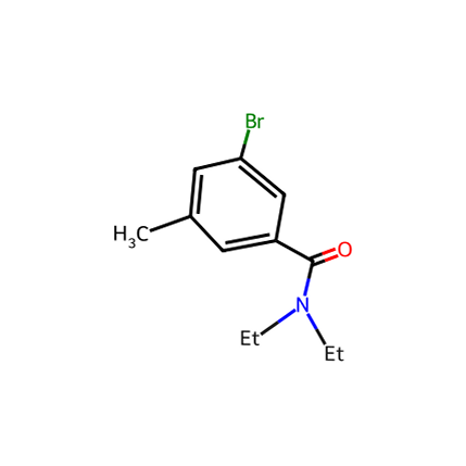 CCN(CC)C(=O)c1cc(C)cc(Br)c1